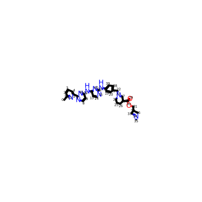 Cc1cccc(-c2nccc(Nc3ccnc(Nc4ccc(CN5CCCC(C(=O)OCC6CN(C)C6)C5)cc4)n3)n2)n1